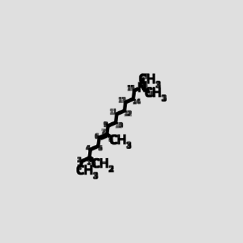 C=C(CC)CC/C=C(\C)CCCCCCCN(C)C